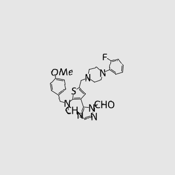 COc1ccc(CN(C)c2sc(CN3CCN(c4ccccc4F)CC3)cc2-c2ncnn2C=O)cc1